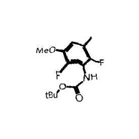 COc1cc(C)c(F)c(NC(=O)OC(C)(C)C)c1F